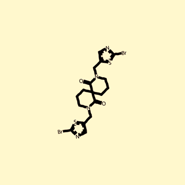 O=C1N(Cc2cnc(Br)s2)CCCC12CCCN(Cc1cnc(Br)s1)C2=O